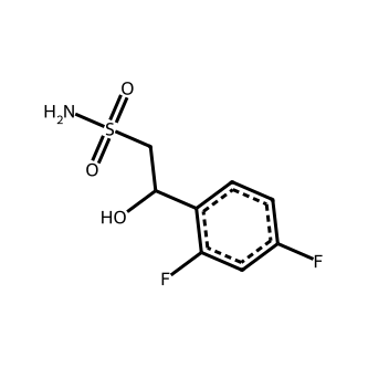 NS(=O)(=O)CC(O)c1ccc(F)cc1F